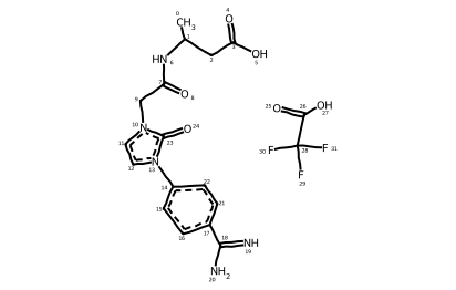 CC(CC(=O)O)NC(=O)Cn1ccn(-c2ccc(C(=N)N)cc2)c1=O.O=C(O)C(F)(F)F